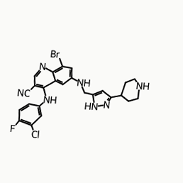 N#Cc1cnc2c(Br)cc(NCc3cc(C4CCNCC4)n[nH]3)cc2c1Nc1ccc(F)c(Cl)c1